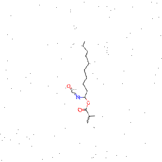 C=C(C)C(=O)OC(CCCCCCCCC)N=C=O